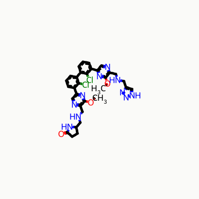 COc1nc(-c2cccc(-c3cccc(-c4cnc(CNCC5CCC(=O)N5)c(OC)n4)c3Cl)c2Cl)cnc1CNCc1c[nH]nn1